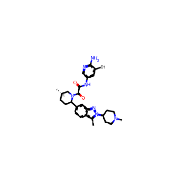 CCc1cc(NC(=O)C(=O)N2C[C@@H](C)CCC2c2ccc3c(C)n(C4CCN(C)CC4)nc3c2)cnc1N